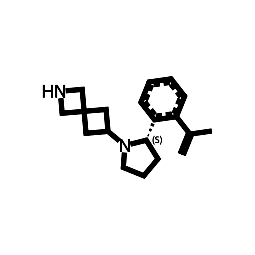 C=C(C)c1ccccc1[C@@H]1CCCN1C1CC2(CNC2)C1